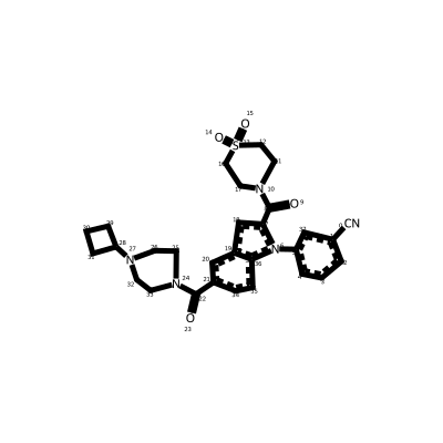 N#Cc1cccc(-n2c(C(=O)N3CCS(=O)(=O)CC3)cc3cc(C(=O)N4CCN(C5CCC5)CC4)ccc32)c1